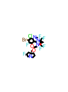 Fc1c(Br)c(Cl)c2c3c1OC(OC[C@@]14CCCN1C[C@H](F)C4)=CN(CC(F)F)C=3N(C1(C(F)F)CC1)CN=2